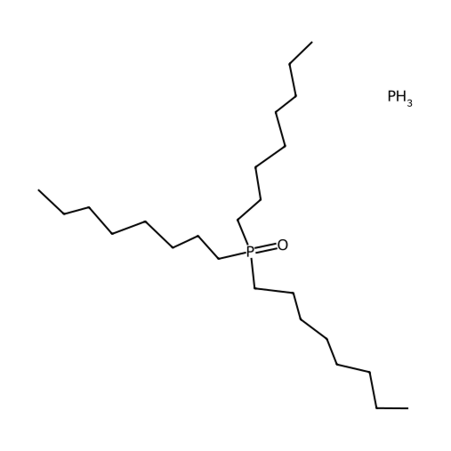 CCCCCCCCP(=O)(CCCCCCCC)CCCCCCCC.P